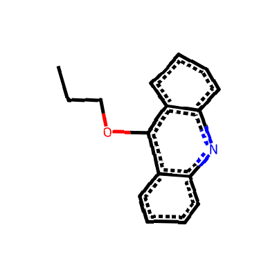 CCCOc1c2ccccc2nc2ccccc12